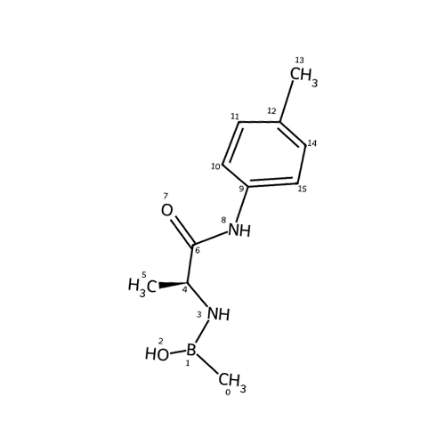 CB(O)N[C@@H](C)C(=O)Nc1ccc(C)cc1